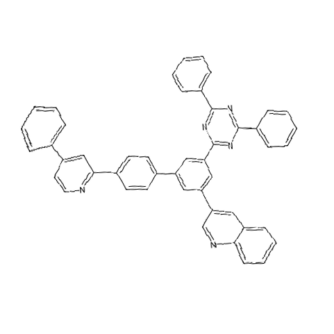 c1ccc(-c2ccnc(-c3ccc(-c4cc(-c5cnc6ccccc6c5)cc(-c5nc(-c6ccccc6)nc(-c6ccccc6)n5)c4)cc3)c2)cc1